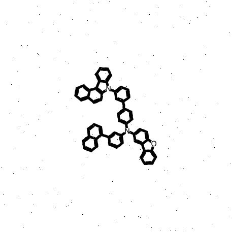 c1cc(-c2cccc3ccccc23)cc(N(c2ccc(-c3cccc(-n4c5ccccc5c5c6ccccc6ccc54)c3)cc2)c2ccc3oc4ccccc4c3c2)c1